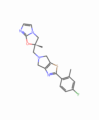 Cc1cc(F)ccc1-c1nc2c(s1)CN(C[C@@]1(C)Cn3ccnc3O1)C2